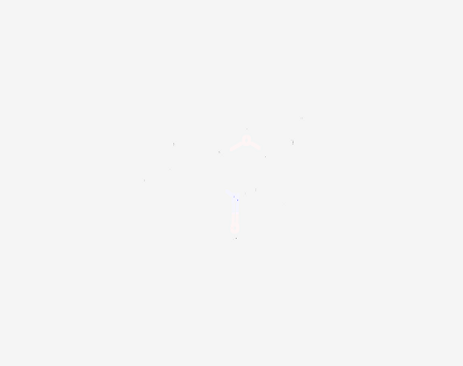 Cc1ccc(Oc2ccc(C)cc2N=O)c(C)c1